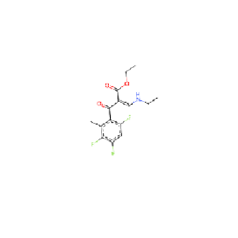 CCNC=C(C(=O)OCC)C(=O)c1c(F)cc(F)c(F)c1C